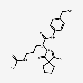 NC(=O)NCCC[C@H](NC(=O)C1(C(=O)O)CCCC1)C(=O)Nc1ccc(CO)cc1